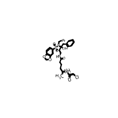 CC(C)CN(C(O)(CCNC(=O)CCCC(C)NC(=O)CCl)Cc1ccccc1)S(=O)(=O)c1ccc2c(c1)OCO2